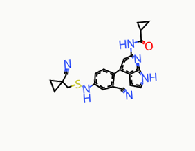 N#Cc1cc(NSCC2(C#N)CC2)ccc1-c1cc(NC(=O)C2CC2)nc2[nH]ccc12